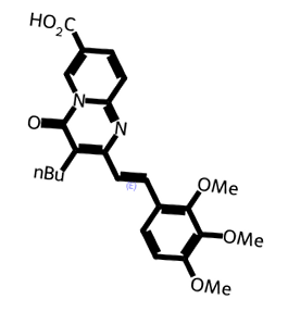 CCCCc1c(/C=C/c2ccc(OC)c(OC)c2OC)nc2ccc(C(=O)O)cn2c1=O